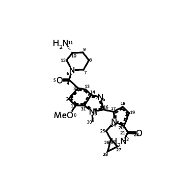 COc1cc(C(=O)N2CCC[C@@H](N)C2)cc2nc(-c3ccc(C(N)=O)n3CC3CC3)n(C)c12